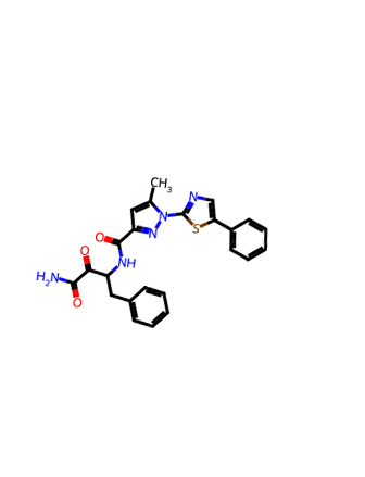 Cc1cc(C(=O)NC(Cc2ccccc2)C(=O)C(N)=O)nn1-c1ncc(-c2ccccc2)s1